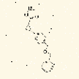 CC(C)(C)OC(=O)C1CC1c1ccc(COCc2ccccc2)cc1